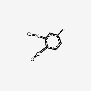 [CH2]c1ccc(=C=O)c(=C=O)c1